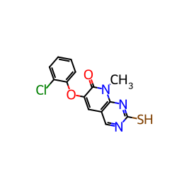 Cn1c(=O)c(Oc2ccccc2Cl)cc2cnc(S)nc21